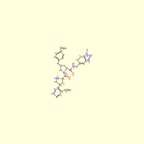 COc1ccc(CC2CC(C(=O)NCC3=Cc4nnn(C)c4CC3)N(C(=O)C3CC(c4cnccc4OC)CN3)C2)cc1